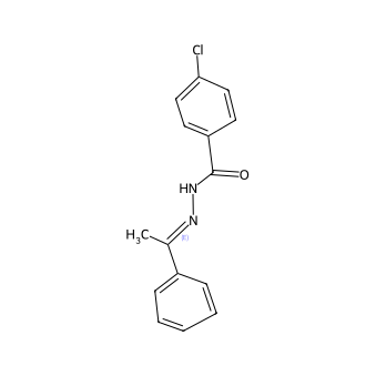 C/C(=N\NC(=O)c1ccc(Cl)cc1)c1ccccc1